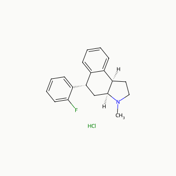 CN1CC[C@@H]2c3ccccc3[C@@H](c3ccccc3F)C[C@@H]21.Cl